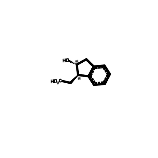 O=C(O)C[C@@H]1c2ccccc2C[C@H]1O